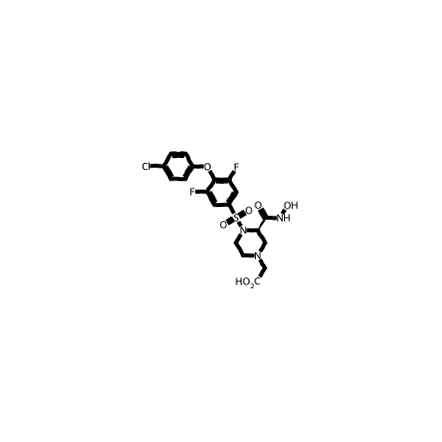 O=C(O)CN1CCN(S(=O)(=O)c2cc(F)c(Oc3ccc(Cl)cc3)c(F)c2)[C@@H](C(=O)NO)C1